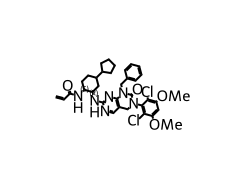 C=CC(=O)N[C@H]1CCC(C2CCCC2)C[C@H]1Nc1ncc2c(n1)N(Cc1ccccc1)C(=O)N(c1c(Cl)c(OC)cc(OC)c1Cl)C2